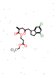 C=C(CC(=O)CC1CCc2c(Cl)cc(Cl)cc21)C(=O)OCCC(=O)OCC(Cl)(Cl)Cl